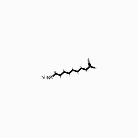 [CH2]C(=S)CCCCCCCCCCCCCCC